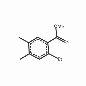 CCc1cc(C)c(C)cc1C(=O)OC